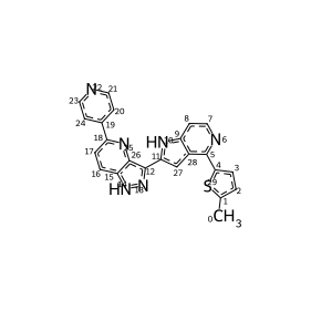 Cc1ccc(-c2nccc3[nH]c(-c4n[nH]c5ccc(-c6ccncc6)nc45)cc23)s1